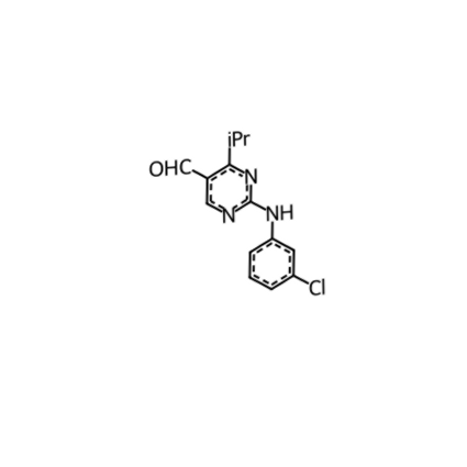 CC(C)c1nc(Nc2cccc(Cl)c2)ncc1C=O